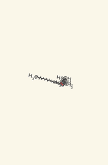 CCCCCCCCCCCCCCCCCC(=O)OC(C(O)CO)[Si](C)(C)C